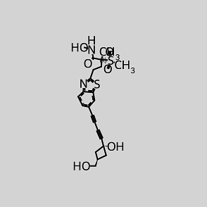 C[C@@](CCc1nc2ccc(C#CC#C[C@]3(O)C[C@H](CO)C3)cc2s1)(C(=O)NO)S(C)(=O)=O